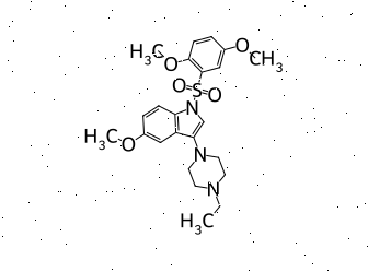 CCN1CCN(c2cn(S(=O)(=O)c3cc(OC)ccc3OC)c3ccc(OC)cc23)CC1